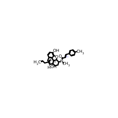 C=CCN1CC[C@]23c4c5ccc(O)c4OC2C(N(C)C(=O)/C=C/c2ccc(C)cc2)CC[C@@]3(O)[C@H]1C5